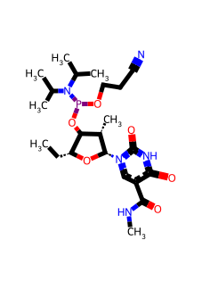 CC[C@H]1O[C@@H](n2cc(C(=O)NC)c(=O)[nH]c2=O)[C@@H](C)C1OP(OCCC#N)N(C(C)C)C(C)C